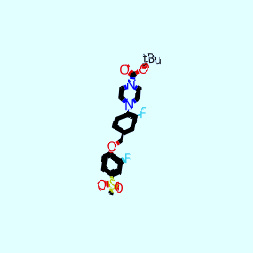 CC(C)(C)OC(=O)N1CCN([C@H]2CC[C@H](COc3ccc(S(C)(=O)=O)cc3F)C[C@H]2F)CC1